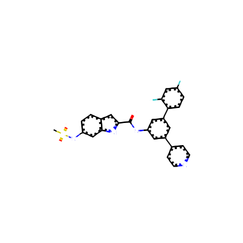 CS(=O)(=O)Nc1ccc2cc(C(=O)Nc3cc(-c4ccncc4)cc(-c4ccc(F)cc4F)c3)[nH]c2c1